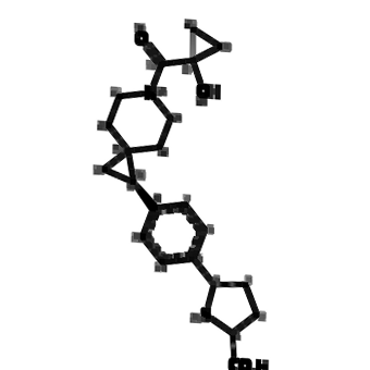 O=C(O)C1CCC(c2ccc([C@H]3CC34CCN(C(=O)C3(O)CC3)CC4)cc2)S1